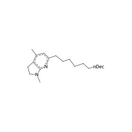 CCCCCCCCCCCCCCCCc1cc(C)c2c(n1)N(C)CC2